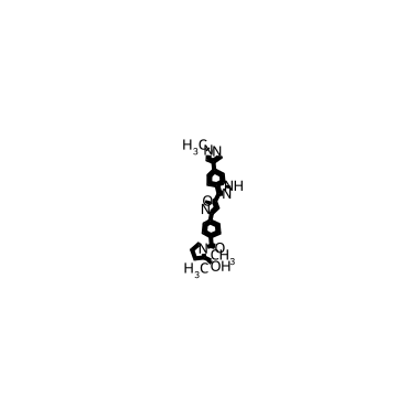 Cn1cc(-c2ccc3c(-c4cc(-c5ccc(C(=O)N6CCCC6C(C)(C)O)cc5)no4)n[nH]c3c2)cn1